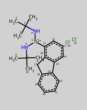 CC(C)(C)[NH][Ti+2]([NH]C(C)(C)C)[c]1cccc2c1Cc1ccccc1-2.[Cl-].[Cl-]